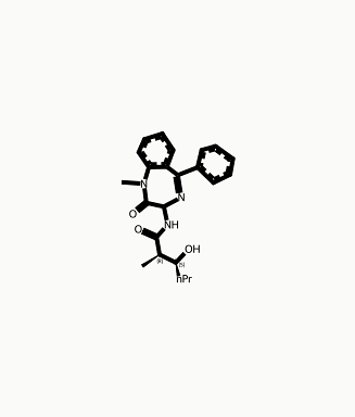 CCC[C@H](O)[C@@H](C)C(=O)NC1N=C(c2ccccc2)c2ccccc2N(C)C1=O